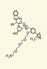 Cc1ncsc1-c1ccc(CNC(=O)[C@@H]2C[C@@H](O)CN2C(=O)C(C(C)C)N2Cc3ccccc3C2=O)c(OCCOCCOCCOCCN)c1